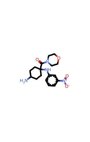 NC1CCC(Nc2cccc([N+](=O)[O-])c2)(C(=O)N2CCOCC2)CC1